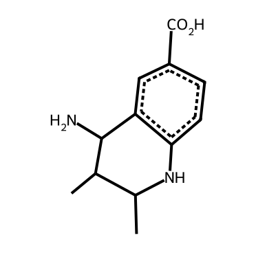 CC1Nc2ccc(C(=O)O)cc2C(N)C1C